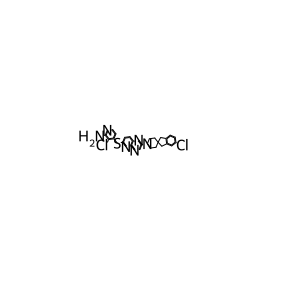 Nc1nccc(Sc2ccc3nc(N4CCC5(CC4)Cc4ccc(Cl)cc4C5)cnc3n2)c1Cl